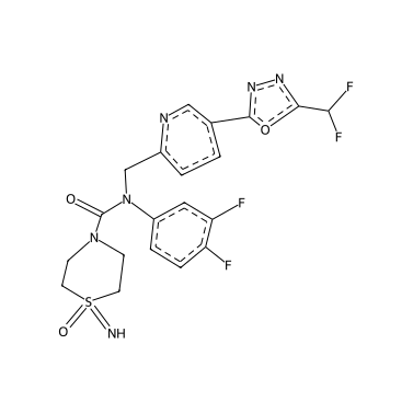 N=S1(=O)CCN(C(=O)N(Cc2ccc(-c3nnc(C(F)F)o3)cn2)c2ccc(F)c(F)c2)CC1